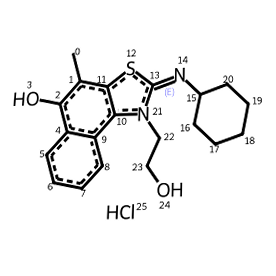 Cc1c(O)c2ccccc2c2c1s/c(=N/C1CCCCC1)n2CCO.Cl